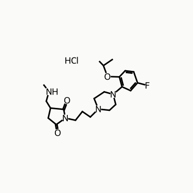 CNCC1CC(=O)N(CCCN2CCN(c3cc(F)ccc3OC(C)C)CC2)C1=O.Cl